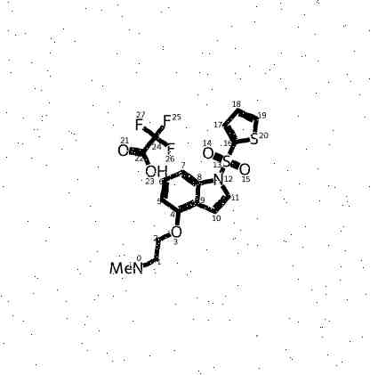 CNCCOc1cccc2c1ccn2S(=O)(=O)c1cccs1.O=C(O)C(F)(F)F